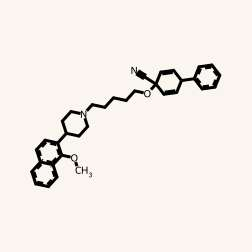 COc1c(C2CCN(CCCCCOC3(C#N)C=CC(c4ccccc4)C=C3)CC2)ccc2ccccc12